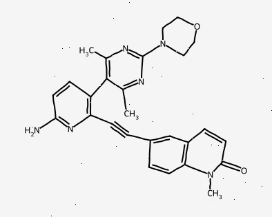 Cc1nc(N2CCOCC2)nc(C)c1-c1ccc(N)nc1C#Cc1ccc2c(ccc(=O)n2C)c1